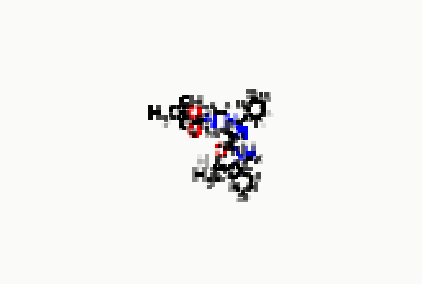 CC(C)(C)OC(=O)N1CCn2c(-c3ccccc3)nc(C(=O)NC3C(C)(C)C4CCCCC43C)c2C1